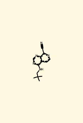 CC(C)(C)CNc1ncnc2c(C#N)nccc12